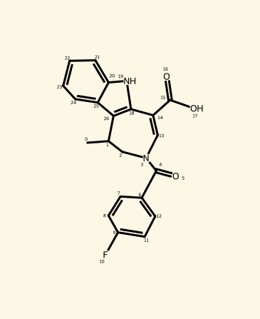 CC1CN(C(=O)c2ccc(F)cc2)C=C(C(=O)O)c2[nH]c3ccccc3c21